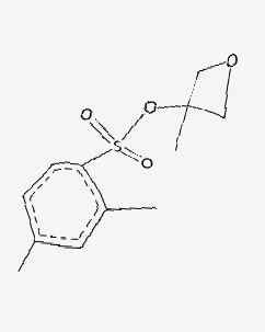 Cc1ccc(S(=O)(=O)OC2(C)COC2)c(C)c1